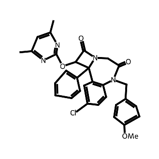 COc1ccc(CN2C(=O)CN3C(=O)C(Oc4nc(C)cc(C)n4)C3(c3ccccc3)c3cc(Cl)ccc32)cc1